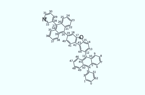 c1ccc(-c2c3ccccc3c(-c3ccc4oc5cc(-c6c7ccccc7c(-c7cccnc7)c7ccccc67)ccc5c4c3)c3ccccc23)cc1